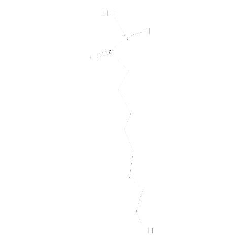 CCCCCCCCCC(=O)N(O)Cl